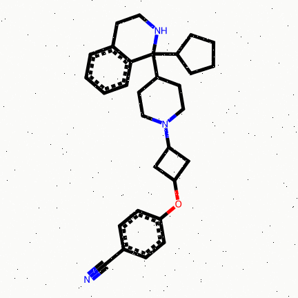 N#Cc1ccc(OC2CC(N3CCC(C4(C5CCCC5)NCCc5ccccc54)CC3)C2)cc1